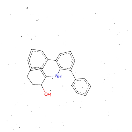 OC1CCCC=C1Nc1c(-c2ccccc2)cccc1-c1ccccc1